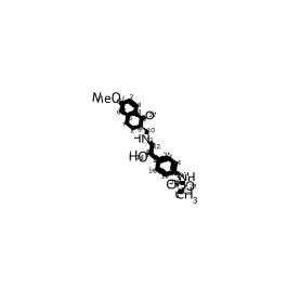 COc1ccc2c(c1)CC[C@H](CNC[C@H](O)c1ccc(NS(C)(=O)=O)cc1)C2=O